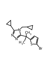 CC(C)(c1ccc(Br)s1)c1nnc(C2CC2)n1CC1CC1